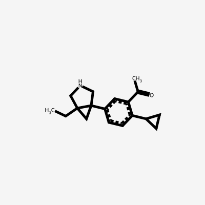 CCC12CNCC1(c1ccc(C3CC3)c(C(C)=O)c1)C2